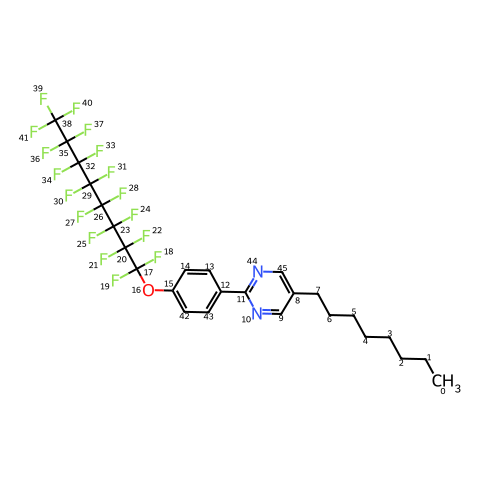 CCCCCCCCc1cnc(-c2ccc(OC(F)(F)C(F)(F)C(F)(F)C(F)(F)C(F)(F)C(F)(F)C(F)(F)C(F)(F)F)cc2)nc1